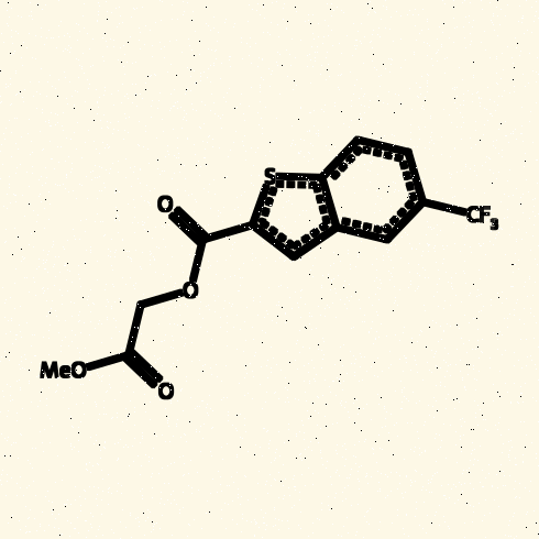 COC(=O)COC(=O)c1cc2cc(C(F)(F)F)ccc2s1